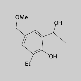 CCc1cc(COC)cc(C(C)O)c1O